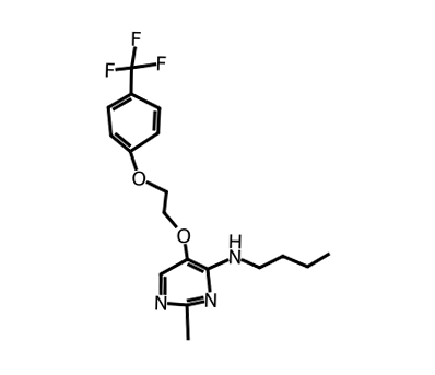 CCCCNc1nc(C)ncc1OCCOc1ccc(C(F)(F)F)cc1